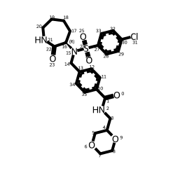 O=C(NCC1COCCO1)c1ccc(CN([C@@H]2CCCCNC2=O)S(=O)(=O)c2ccc(Cl)cc2)cc1